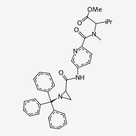 COC(=O)C(C(C)C)N(C)C(=O)c1ccc(NC(=O)C2C[N@@]2C(c2ccccc2)(c2ccccc2)c2ccccc2)cn1